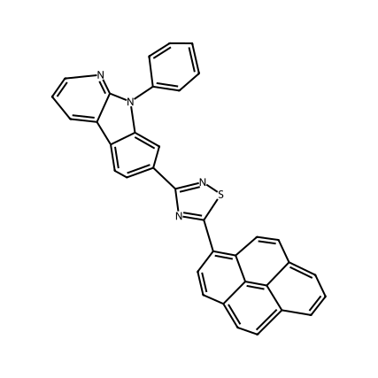 c1ccc(-n2c3cc(-c4nsc(-c5ccc6ccc7cccc8ccc5c6c78)n4)ccc3c3cccnc32)cc1